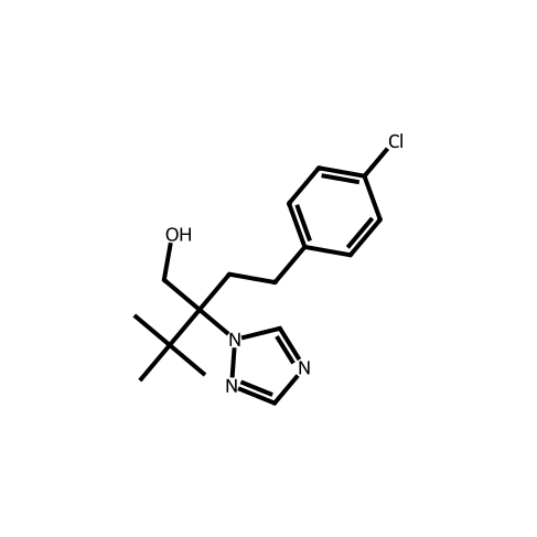 CC(C)(C)C(CO)(CCc1ccc(Cl)cc1)n1cncn1